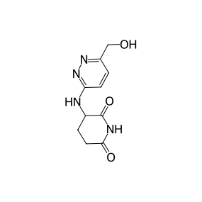 O=C1CCC(Nc2ccc(CO)nn2)C(=O)N1